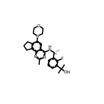 Cc1nc(N[C@H](C)c2cccc(C(C)(C)O)c2F)c2cc(N3CCOCC3)c3c(c2n1)CCC3